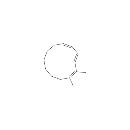 CC1=C(/C)CCCCCC\C=C/C=C/1